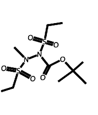 CCS(=O)(=O)N(C)N(C(=O)OC(C)(C)C)S(=O)(=O)CC